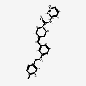 Cc1ccc(COc2cccc(C=C3CCN(C(=O)Nc4cccnn4)CC3)c2)cn1